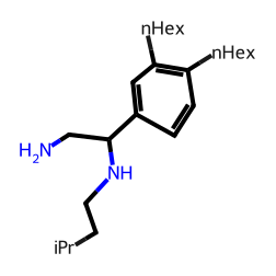 CCCCCCc1ccc(C(CN)NCCC(C)C)cc1CCCCCC